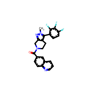 Cn1nc2c(c1-c1ccc(F)c(F)c1F)CCN(C(=O)c1ccc3ncccc3c1)C2